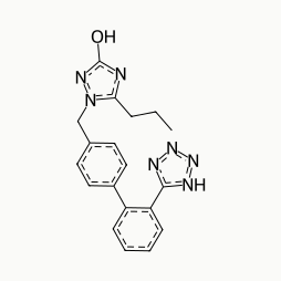 CCCc1nc(O)nn1Cc1ccc(-c2ccccc2-c2nnn[nH]2)cc1